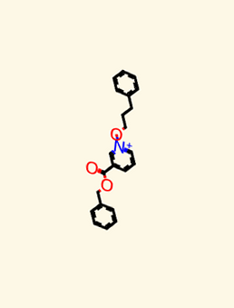 O=C(OCc1ccccc1)c1ccc[n+](OCCCc2ccccc2)c1